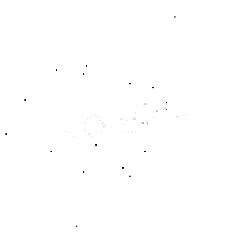 CN(C)Cc1ccc(Sn2ccc3cc(C(=O)NO)ccc32)cc1